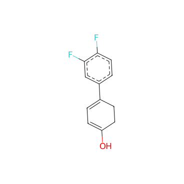 OC1=CC=C(c2ccc(F)c(F)c2)CC1